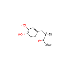 CC[C@@H](Cc1ccc(O)c(O)c1)C(=O)OC